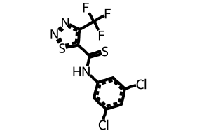 FC(F)(F)c1nnsc1C(=S)Nc1cc(Cl)cc(Cl)c1